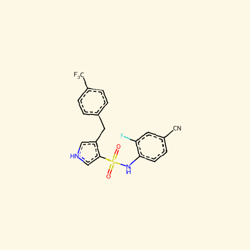 N#Cc1ccc(NS(=O)(=O)c2c[nH]cc2Cc2ccc(C(F)(F)F)cc2)c(F)c1